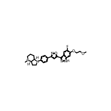 COCCOc1cc2[nH]nc(-c3cc(-c4ccc(N5CC[C@@H]6[C@H]5CCCN6C)cc4)no3)c2cc1F